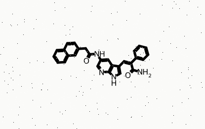 NC(=O)C(=Cc1c[nH]c2ncc(NC(=O)Cc3ccc4ccccc4c3)cc12)c1ccccc1